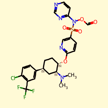 CN(C)[C@H]1C[C@@H](c2ccc(Cl)c(C(F)(F)F)c2)CC[C@@H]1Oc1ccc(S(=O)(=O)N(OC=O)c2ccncn2)cn1